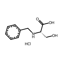 Cl.O=C(O)[C@H](CO)NCc1ccccc1